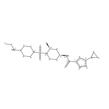 CCNC1CCN(S(=O)(=O)N2CC[C@H](NC(=O)c3cc(C4CC4)on3)C[C@@H]2C)CC1